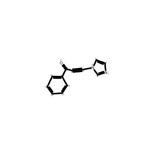 O=C(C#Cn1ccnc1)c1ccccc1